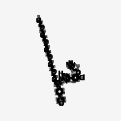 COCCOCCOCCOCCOCCOCCOCCOCCOc1nn(C2CCC(N3CCOCC3)CC2)cc1Nc1ncc(-c2ccc(Cl)c(O[C@@H](C)Cn3cnnn3)c2)cn1